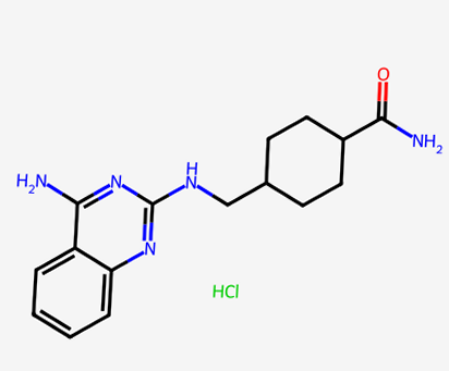 Cl.NC(=O)C1CCC(CNc2nc(N)c3ccccc3n2)CC1